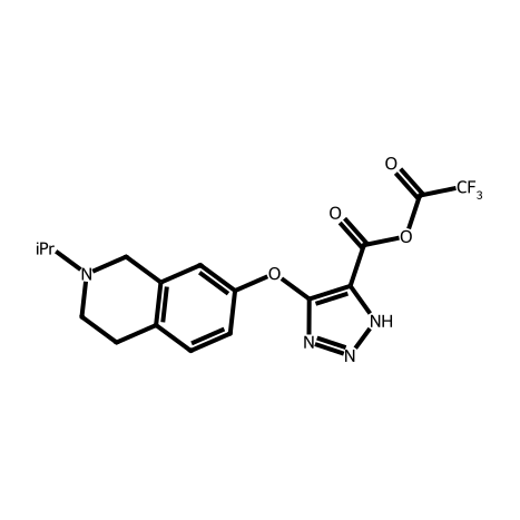 CC(C)N1CCc2ccc(Oc3nn[nH]c3C(=O)OC(=O)C(F)(F)F)cc2C1